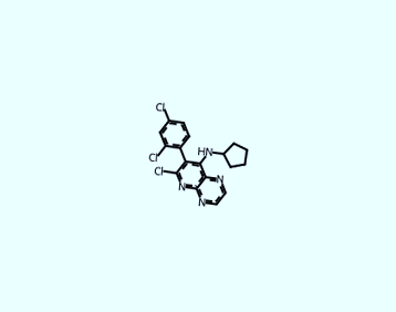 Clc1ccc(-c2c(Cl)nc3nccnc3c2NC2CCCC2)c(Cl)c1